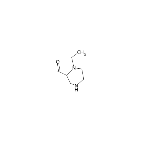 CCN1CCNCC1[C]=O